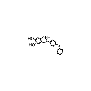 Oc1cc2c(cc1O)CC(c1ccc(Sc3ccccc3)cc1)NC2